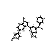 CN(c1ccccc1)c1cc(-c2c[nH]c3ncc(-c4cnn(C)c4)cc23)nc(N)n1